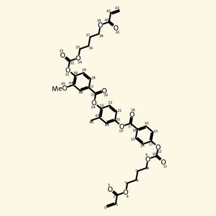 C=CC(=O)OCCCCOC(=O)Oc1ccc(C(=O)Oc2ccc(OC(=O)c3ccc(OC(=O)OCCCCOC(=O)C=C)c(OC)c3)c(C)c2)cc1